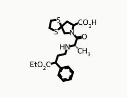 CCOC(=O)C(CCN[C@@H](C)C(=O)N1CC2(CC1C(=O)O)SCCS2)c1ccccc1